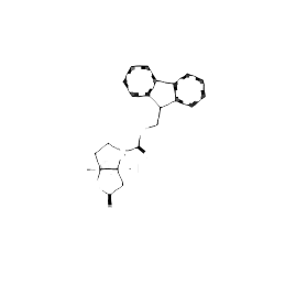 O=C1C[C@H]2[C@@H](CCN2C(=O)OCC2c3ccccc3-c3ccccc32)O1